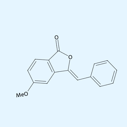 COc1ccc2c(c1)C(=Cc1ccccc1)OC2=O